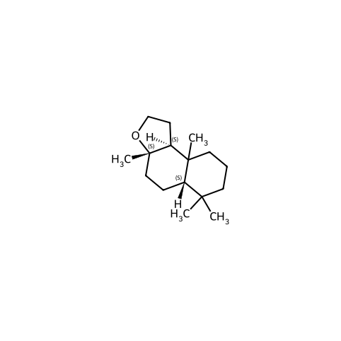 CC1(C)CCCC2(C)[C@H]1CC[C@]1(C)OCC[C@@H]21